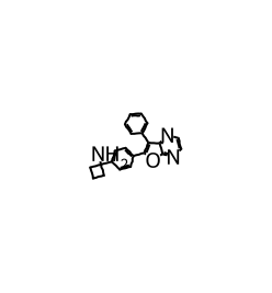 NC1(c2ccc(-c3oc4nccnc4c3-c3ccccc3)cc2)CCC1